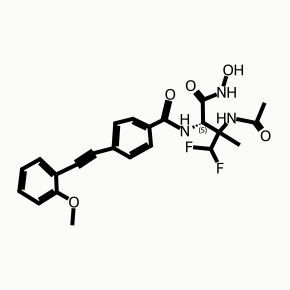 COc1ccccc1C#Cc1ccc(C(=O)N[C@H](C(=O)NO)C(C)(NC(C)=O)C(F)F)cc1